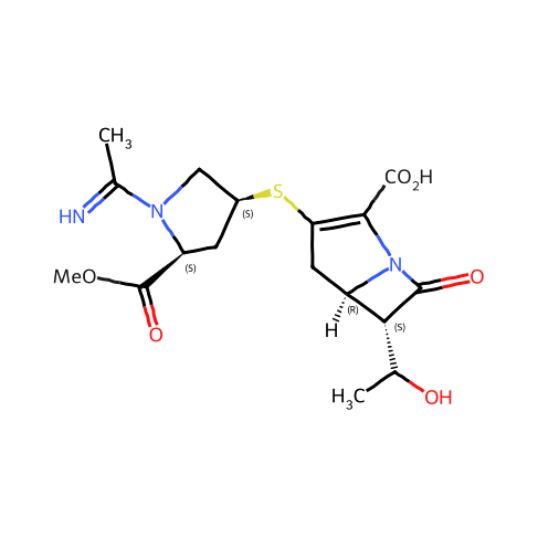 COC(=O)[C@@H]1C[C@H](SC2=C(C(=O)O)N3C(=O)[C@H](C(C)O)[C@H]3C2)CN1C(C)=N